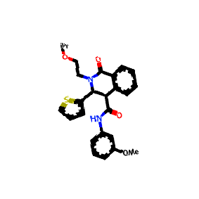 COc1cccc(NC(=O)C2c3ccccc3C(=O)N(CCOC(C)C)C2c2cccs2)c1